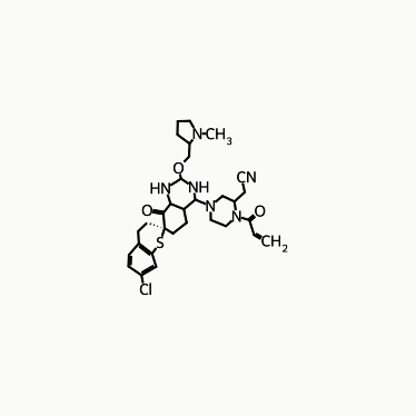 C=CC(=O)N1CCN(C2NC(OCC3CCCN3C)NC3C(=O)[C@@]4(CCc5ccc(Cl)cc5S4)CCC32)CC1CC#N